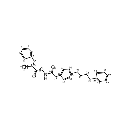 N[C@@H](Cc1ccccc1)C(=O)ONC(=O)Cc1ccc(CCCCc2ccccc2)cc1